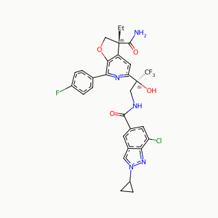 CC[C@]1(C(N)=O)COc2c1cc([C@@](O)(CNC(=O)c1cc(Cl)c3nn(C4CC4)cc3c1)C(F)(F)F)nc2-c1ccc(F)cc1